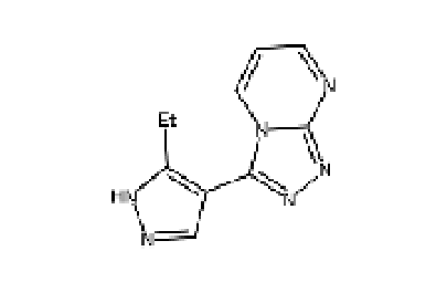 CCc1[nH]ncc1-c1nnc2ncccn12